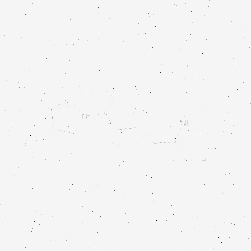 NC(CSCC(=O)N1C=CSC1)C(=O)O